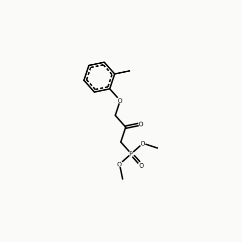 COP(=O)(CC(=O)COc1ccccc1C)OC